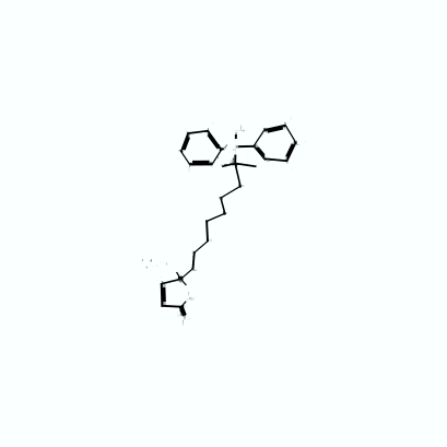 COC1(CCCCCCCC(C)(C)[Si](O)(c2ccccc2)c2ccccc2)C=CC(=O)O1